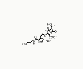 C[C@@H](O)[C@H]1C(=O)N2C(C(=O)[O-])=C(S/C=C\c3scnc3C(=O)NCCCO)[C@H](C)[C@H]12.[Na+]